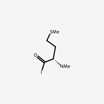 CN[C@@H](CCSC)C(=O)I